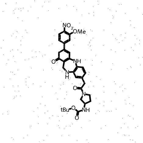 COc1cc(C2=CC3=C(CNc4cc(CC(=O)N5CCC(NC(=O)OC(C)(C)C)C5)ccc4N3)C(=O)C2)ccc1[N+](=O)[O-]